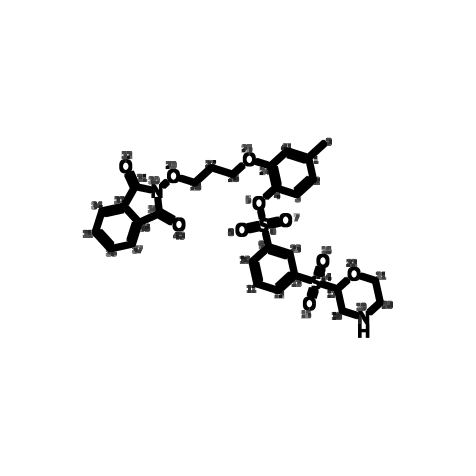 Cc1ccc(OS(=O)(=O)c2cccc(S(=O)(=O)C3CNCCO3)c2)c(OCCCON2C(=O)c3ccccc3C2=O)c1